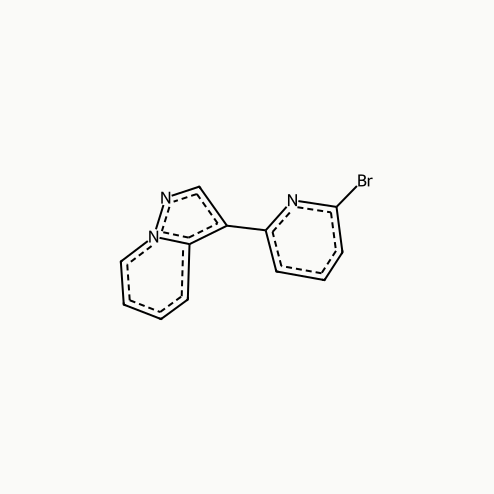 Brc1cccc(-c2cnn3ccccc23)n1